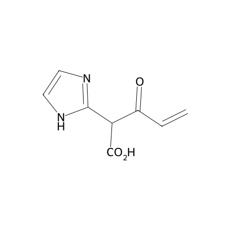 C=CC(=O)C(C(=O)O)c1ncc[nH]1